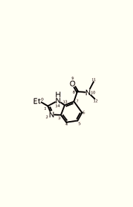 CCc1nc2cccc(C(=O)N(C)C)c2[nH]1